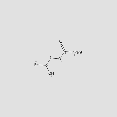 CCCCCC(=O)OCC(O)CC